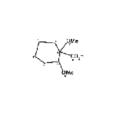 COC1CCCCC1(OC)C(=O)O